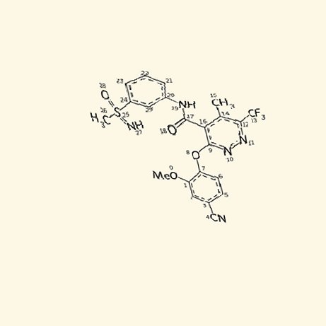 COc1cc(C#N)ccc1Oc1nnc(C(F)(F)F)c(C)c1C(=O)Nc1cccc(S(C)(=N)=O)c1